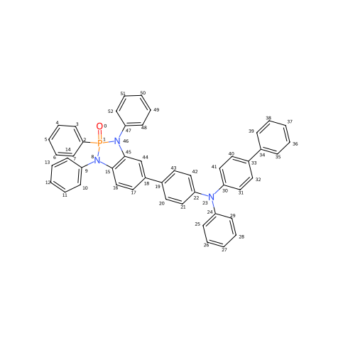 O=P1(c2ccccc2)N(c2ccccc2)c2ccc(-c3ccc(N(c4ccccc4)c4ccc(-c5ccccc5)cc4)cc3)cc2N1c1ccccc1